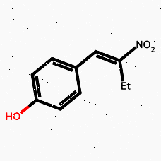 CC/C(=C\c1ccc(O)cc1)[N+](=O)[O-]